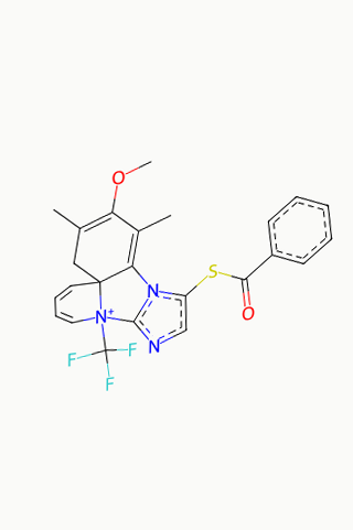 COC1=C(C)CC23C=CC=C[N+]2(C(F)(F)F)c2ncc(SC(=O)c4ccccc4)n2C3=C1C